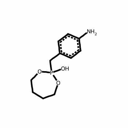 Nc1ccc(C[P]2(O)OCCCCO2)cc1